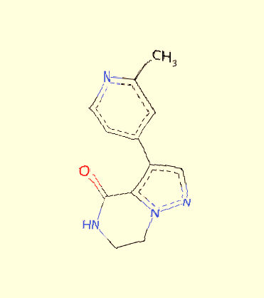 Cc1cc(-c2cnn3c2C(=O)NCC3)ccn1